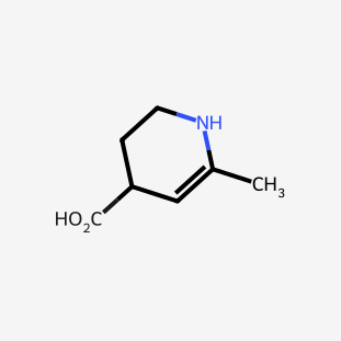 CC1=CC(C(=O)O)CCN1